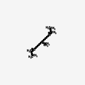 CC(C)=CCCC(C)CC(=O)OCCCCCCCCCN(CCCCCCCCCOC(=O)CC(C)CCC=C(C)C)CCN(C)C